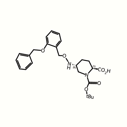 CC(C)(C)OC(=O)N1C[C@H](NOCc2ccccc2OCc2ccccc2)CC[C@H]1C(=O)O